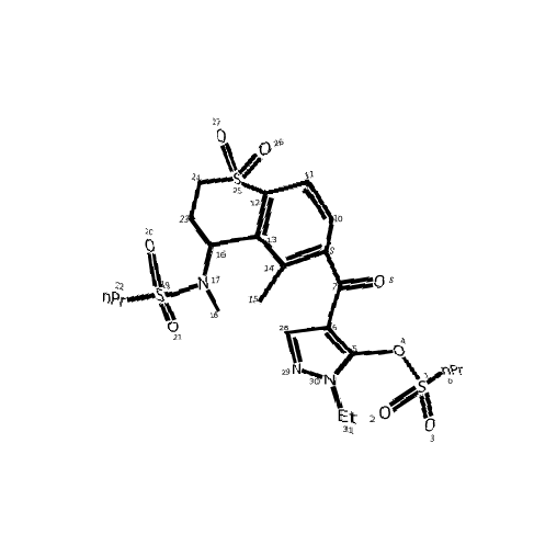 CCCS(=O)(=O)Oc1c(C(=O)c2ccc3c(c2C)C(N(C)S(=O)(=O)CCC)CCS3(=O)=O)cnn1CC